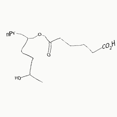 CCCC(CCC(C)O)OC(=O)CCCCC(=O)O